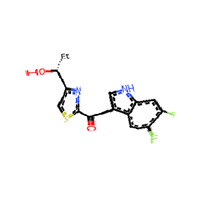 CC[C@@H](O)c1csc(C(=O)c2c[nH]c3cc(F)c(F)cc23)n1